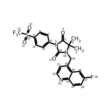 CC1(C)C(=O)N(c2ccc(S(=O)(=O)C(F)(F)F)cc2)C(=O)N1Cc1ccnc2ccc(F)cc12